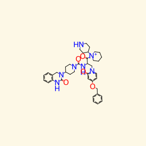 O=C(NC(Cn1ccc(OCc2ccccc2)cc1=O)C(=O)[N+]1(C2CCNCC2)CCCCC1)N1CCC(N2Cc3ccccc3NC2=O)CC1